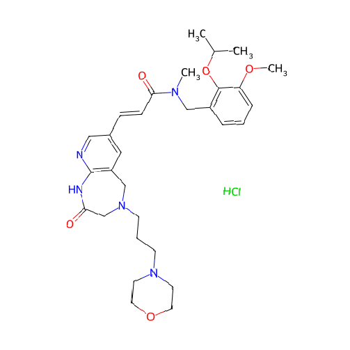 COc1cccc(CN(C)C(=O)C=Cc2cnc3c(c2)CN(CCCN2CCOCC2)CC(=O)N3)c1OC(C)C.Cl